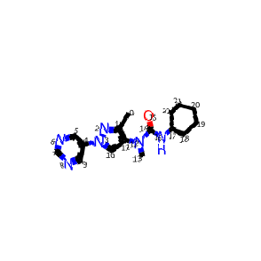 Cc1nn(-c2cncnc2)cc1N(C)C(=O)NC1CCCCC1